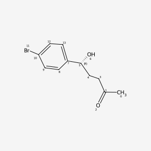 CC(=O)CC[C@@H](O)c1ccc(Br)cc1